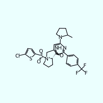 CC1CCCN1c1cc(C[N+]2(S(=O)(=O)c3ccc(Cl)s3)CCC[C@H]2C(N)=O)cc(-c2ccc(C(F)(F)F)cc2)n1